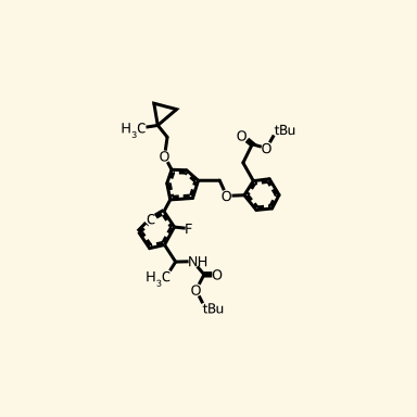 CC(NC(=O)OC(C)(C)C)c1cccc(-c2cc(COc3ccccc3CC(=O)OC(C)(C)C)cc(OCC3(C)CC3)c2)c1F